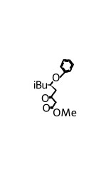 CC[C@H](C)[C@H](CC(=O)CC(=O)OC)OCc1ccccc1